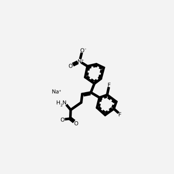 NC(CC=C(c1cccc([N+](=O)[O-])c1)c1ccc(F)cc1F)C(=O)[O-].[Na+]